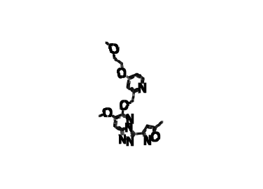 COCCOc1ccnc(COc2nn3c(-c4cc(C)on4)nnc3cc2OC)c1